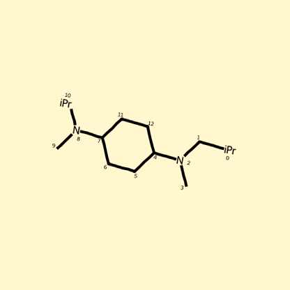 CC(C)CN(C)C1CCC(N(C)C(C)C)CC1